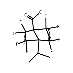 CC(C)C(C(F)(F)F)(C(F)(F)F)C(C(=O)O)(C(F)(F)F)C(F)(F)F